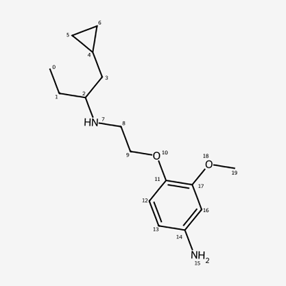 CCC(CC1CC1)NCCOc1ccc(N)cc1OC